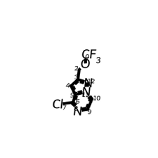 FC(F)(F)OCc1cc2c(Cl)nccn2n1